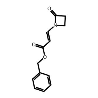 O=C(C=CN1CCC1=O)OCc1ccccc1